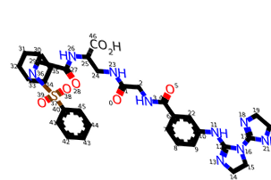 O=C(CNC(=O)c1cccc(NC2=NCCN2C2=NCCN2)c1)NCC(NC(=O)C1C2CCC(CC2)N1S(=O)(=O)c1ccccc1)C(=O)O